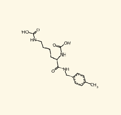 Cc1ccc(CNC(=O)C(CCCCNC(=O)O)NC(=O)O)cc1